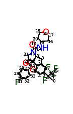 CC(F)(c1ccc2c(c1)CC1N(C(=O)NC3CCOCC3)CCC21S(=O)(=O)c1ccc(F)cc1)C(F)(F)F